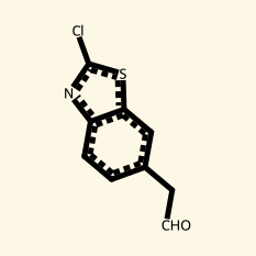 O=CCc1ccc2nc(Cl)sc2c1